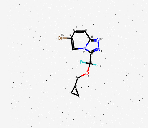 FC(F)(OCC1CC1)c1nnc2ccc(Br)cn12